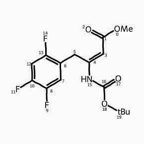 COC(=O)C=C(Cc1cc(F)c(F)cc1F)NC(=O)OC(C)(C)C